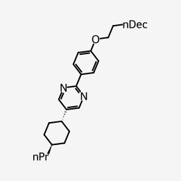 CCCCCCCCCCCCOc1ccc(-c2ncc([C@H]3CC[C@H](CCC)CC3)cn2)cc1